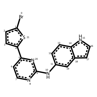 Brc1ccc(-c2ccnc(Nc3ccc4[nH]ccc4c3)n2)s1